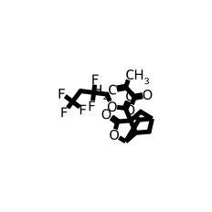 C=C(C)C(=O)OC1C2CC3C1OC(=O)C3(C(=O)OCC(F)(F)CC(F)(F)F)C2